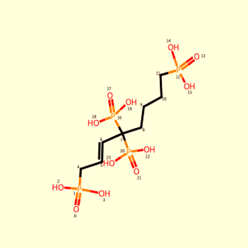 O=P(O)(O)C/C=C/C(CCCCP(=O)(O)O)(P(=O)(O)O)P(=O)(O)O